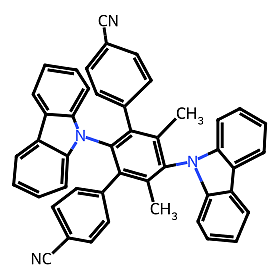 Cc1c(-c2ccc(C#N)cc2)c(-n2c3ccccc3c3ccccc32)c(-c2ccc(C#N)cc2)c(C)c1-n1c2ccccc2c2ccccc21